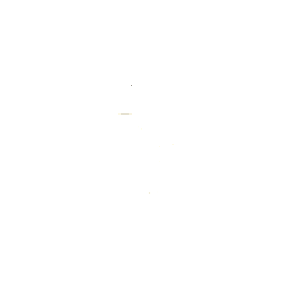 Cc1csc(C(=O)C2C3CN(C(=O)OC(C)(C)C)C[C@H]32)c1